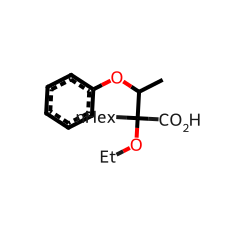 CCCCCCC(OCC)(C(=O)O)C(C)Oc1ccccc1